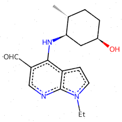 CCn1ccc2c(N[C@@H]3C[C@H](O)CC[C@H]3C)c([C]=O)cnc21